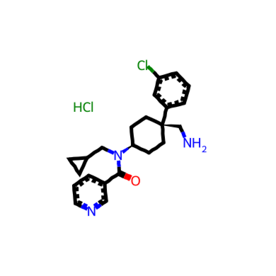 Cl.NC[C@]1(c2cccc(Cl)c2)CC[C@H](N(CC2CC2)C(=O)c2cccnc2)CC1